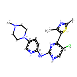 CCc1nc(C)c(-c2nc(Nc3ccc(N4CCN(C(C)=O)CC4)cn3)ncc2Cl)s1